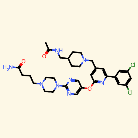 CC(=O)NCC1CCN(Cc2cc(Oc3cnc(N4CCN(CCCC(N)=O)CC4)nc3)nc(-c3cc(Cl)cc(Cl)c3)c2)CC1